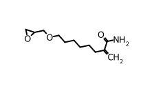 C=C(CCCCCCOCC1CO1)C(N)=O